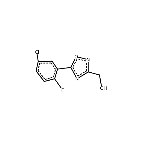 OCc1noc(-c2cc(Cl)ccc2F)n1